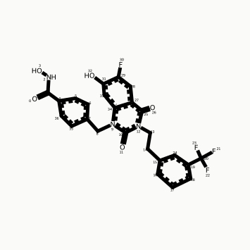 O=C(NO)c1ccc(Cn2c(=O)n(CCc3cccc(C(F)(F)F)c3)c(=O)c3cc(F)c(O)cc32)cc1